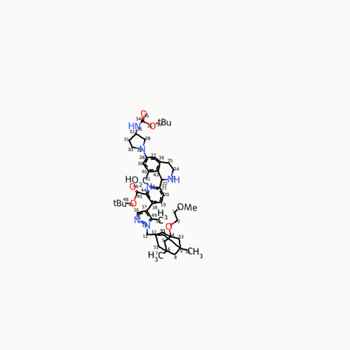 COCCOC12CC3(C)CC(C)(CC(Cn4ncc(-c5ccc(C6NCCc7cc(N8CCC(NC(=O)OC(C)(C)C)C8)cc(C(=O)O)c76)nc5C(=O)OC(C)(C)C)c4C)(C3)C1)C2